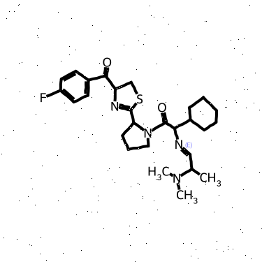 CC(/C=N/C(C(=O)N1CCCC1C1=NC(C(=O)c2ccc(F)cc2)CS1)C1CCCCC1)N(C)C